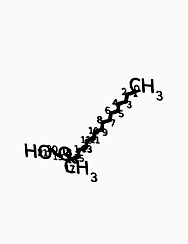 CCCCCCCCCCCCCCCCC(C)OCCO